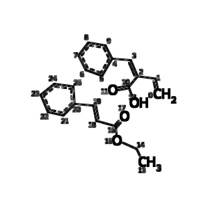 C=CC(=Cc1ccccc1)C(=O)O.CCOC(=O)C=Cc1ccccc1